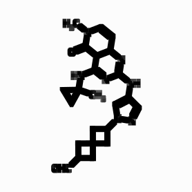 CN1C=CC2N=C(Nc3cnn(C4CC5(CC(C=O)C5)C4)c3)N=C(NC3(C)CC3)C2C1=O